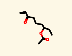 C=CC(=O)CCCC(CC)OC(C)=O